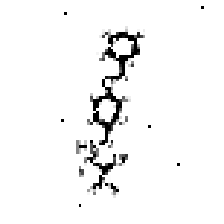 C[C@H](NCc1ccc(OCc2ccccc2)cc1)C(=O)N(C)C